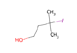 CC(C)(I)CCO